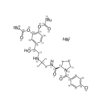 Br.CC(C)(CNC(=O)[C@H]1CCCN1C(=O)c1ccc(Cl)cc1)NCC(O)c1ccc(OC(=O)C(C)(C)C)c(OC(=O)C(C)(C)C)c1